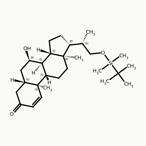 C[C@H](CO[Si](C)(C)C(C)(C)C)[C@H]1CC[C@H]2[C@@H]3[C@H](O)C[C@H]4CC(=O)C=C[C@]4(C)[C@H]3CC[C@]12C